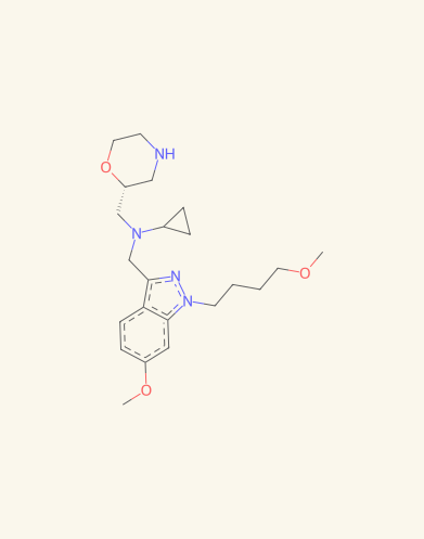 COCCCCn1nc(CN(C[C@H]2CNCCO2)C2CC2)c2ccc(OC)cc21